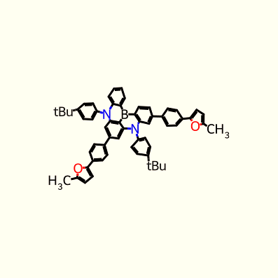 Cc1ccc(-c2ccc(-c3ccc4c(c3)N(c3ccc(C(C)(C)C)cc3)c3cc(-c5ccc(-c6ccc(C)o6)cc5)cc5c3B4c3ccccc3N5c3ccc(C(C)(C)C)cc3)cc2)o1